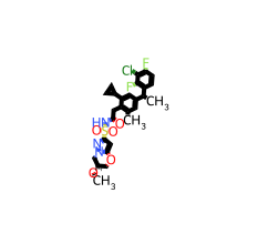 CO[C@H]1COc2cc(S(=O)(=O)NC(=O)Cc3c(C)cc(C(C)c4ccc(F)c(Cl)c4F)cc3C3CC3)nn2C1